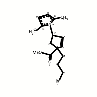 COC(=O)C1(CCCBr)C=CC(n2c(C)ccc2C)C1